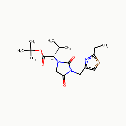 CCc1nc(CN2C(=O)CN([C@H](C(=O)OC(C)(C)C)C(C)C)C2=O)cs1